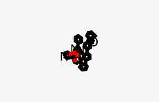 c1ccc(-c2nc(-c3ccncc3)nc(-c3c(-c4ccc5c(c4)oc4ccccc45)ccc4c3C3(c5ccccc5-4)C4CC5CC(C4)CC3C5)n2)cc1